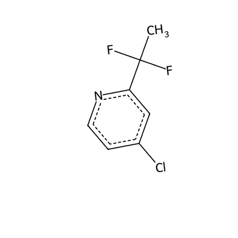 CC(F)(F)c1cc(Cl)ccn1